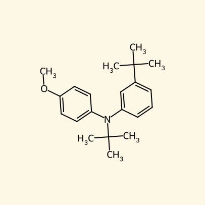 COc1ccc(N(c2cccc(C(C)(C)C)c2)C(C)(C)C)cc1